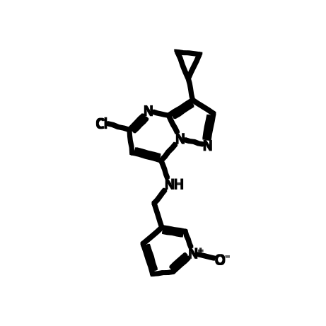 [O-][n+]1cccc(CNc2cc(Cl)nc3c(C4CC4)cnn23)c1